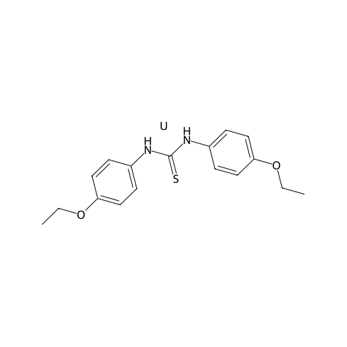 CCOc1ccc(NC(=S)Nc2ccc(OCC)cc2)cc1.[U]